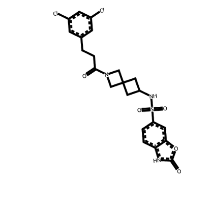 O=C(CCc1cc(Cl)cc(Cl)c1)N1CC2(CC(NS(=O)(=O)c3ccc4[nH]c(=O)oc4c3)C2)C1